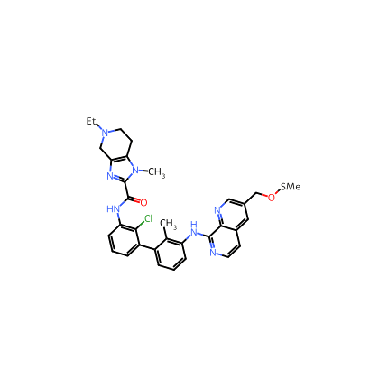 CCN1CCc2c(nc(C(=O)Nc3cccc(-c4cccc(Nc5nccc6cc(COSC)cnc56)c4C)c3Cl)n2C)C1